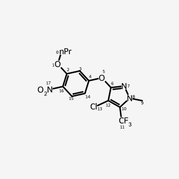 CCCOc1cc(Oc2nn(C)c(C(F)(F)F)c2Cl)ccc1[N+](=O)[O-]